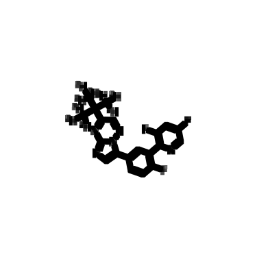 [2H]C([2H])([2H])C(c1cnn2c(-c3ccc(F)c(-c4ncc(F)cc4F)c3)cnc2n1)(C([2H])([2H])[2H])C([2H])([2H])[2H]